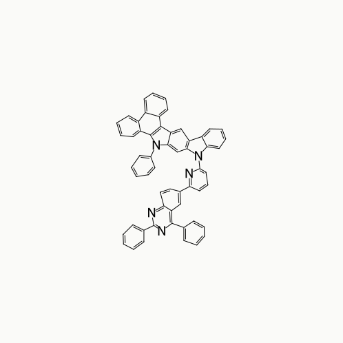 c1ccc(-c2nc(-c3ccccc3)c3cc(-c4cccc(-n5c6ccccc6c6cc7c8c9ccccc9c9ccccc9c8n(-c8ccccc8)c7cc65)n4)ccc3n2)cc1